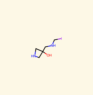 OC1(CNCI)CNC1